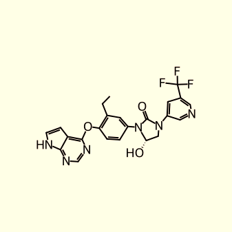 CCc1cc(N2C(=O)N(c3cncc(C(F)(F)F)c3)C[C@@H]2O)ccc1Oc1ncnc2[nH]ccc12